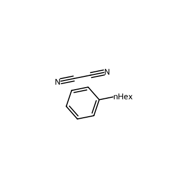 CCCCCCc1ccccc1.N#CC#N